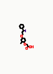 Cc1cc(OCC=C(I)c2ccccc2)ccc1OCC(=O)O